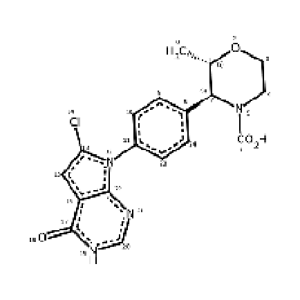 C[C@@H]1OCCN(C(=O)O)[C@H]1c1ccc(-n2c(Cl)cc3c(=O)[nH]cnc32)cc1